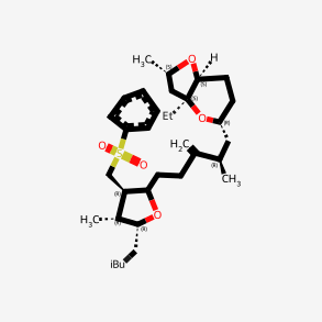 C=C(CCC1O[C@H](CC(C)CC)[C@H](C)[C@H]1CS(=O)(=O)c1ccccc1)[C@H](C)C[C@H]1CC[C@@H]2O[C@@H](C)C[C@]2(CC)O1